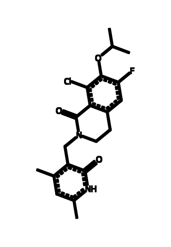 Cc1cc(C)c(CN2CCc3cc(F)c(OC(C)C)c(Cl)c3C2=O)c(=O)[nH]1